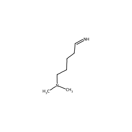 CN(C)CCCCC=N